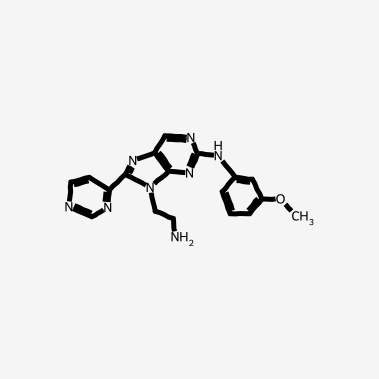 COc1cccc(Nc2ncc3nc(-c4ccncn4)n(CCN)c3n2)c1